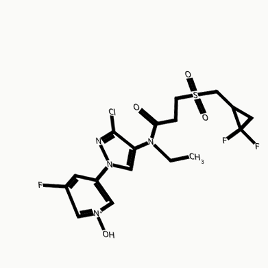 CCN(C(=O)CCS(=O)(=O)CC1CC1(F)F)c1cn(-c2cc(F)c[n+](O)c2)nc1Cl